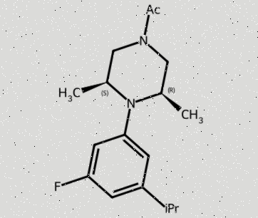 CC(=O)N1C[C@@H](C)N(c2cc(F)cc(C(C)C)c2)[C@@H](C)C1